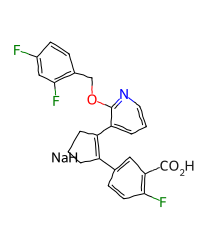 O=C(O)c1cc(C2=C(c3cccnc3OCc3ccc(F)cc3F)CCC2)ccc1F.[NaH]